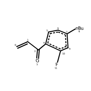 C=CC(=O)c1ccc(CCCC)cc1F